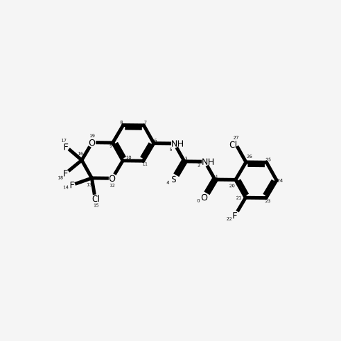 O=C(NC(=S)Nc1ccc2c(c1)OC(F)(Cl)C(F)(F)O2)c1c(F)cccc1Cl